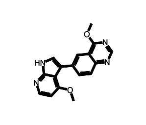 COc1ncnc2ccc(-c3c[nH]c4nccc(OC)c34)cc12